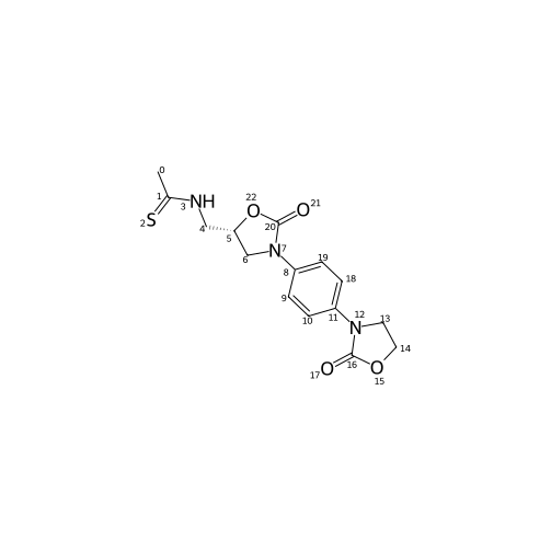 CC(=S)NC[C@H]1CN(c2ccc(N3CCOC3=O)cc2)C(=O)O1